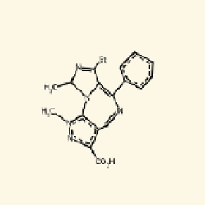 CCC1=NC(C)N2C1=C(c1ccccc1)N=Cc1c(C(=O)O)nn(C)c12